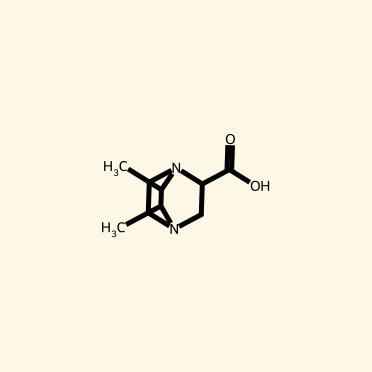 CC1C(C)N2CCN1CC2C(=O)O